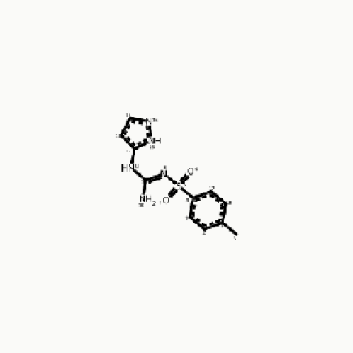 Cc1ccc(S(=O)(=O)/N=C(\N)Nc2ccn[nH]2)cc1